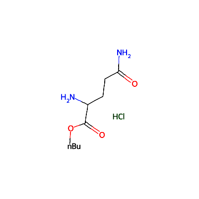 CCCCOC(=O)C(N)CCC(N)=O.Cl